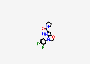 O=C(c1cc2c([nH]1)N(c1ccc(F)c(F)c1)CCO2)N1CCCC1